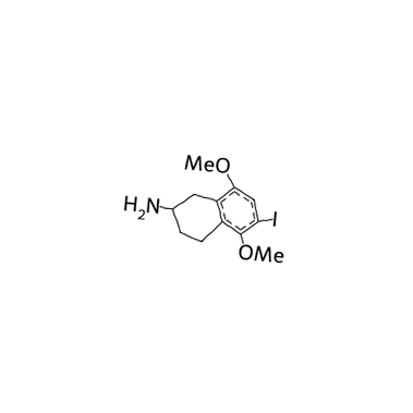 COc1cc(I)c(OC)c2c1CC(N)CC2